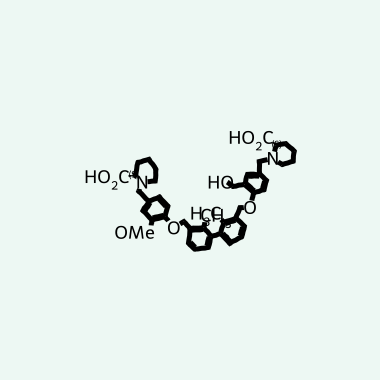 COc1cc(CN2CCCC[C@H]2C(=O)O)ccc1OCc1cccc(-c2cccc(COc3ccc(CN4CCCC[C@H]4C(=O)O)cc3CO)c2C)c1C